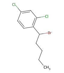 CCCCC(Br)c1ccc(Cl)cc1Cl